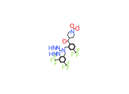 CN/N=C(\N=N)N(Cc1cc(C(F)(F)F)cc(C(F)(F)F)c1)Cc1cc(C(F)(F)F)ccc1C(OC)C1CCN(C(=O)OC)CC1